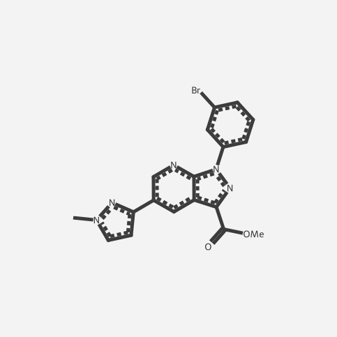 COC(=O)c1nn(-c2cccc(Br)c2)c2ncc(-c3ccn(C)n3)cc12